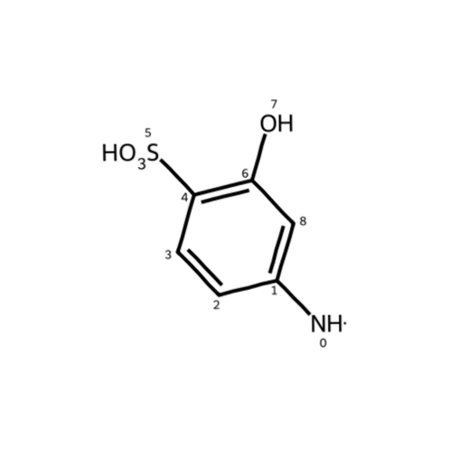 [NH]c1ccc(S(=O)(=O)O)c(O)c1